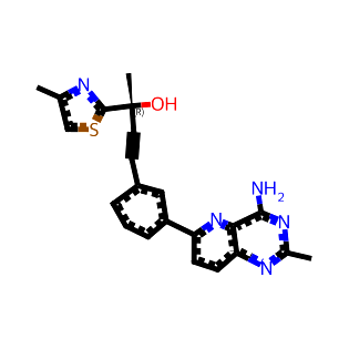 Cc1csc([C@](C)(O)C#Cc2cccc(-c3ccc4nc(C)nc(N)c4n3)c2)n1